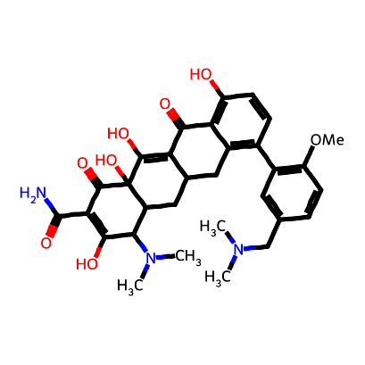 COc1ccc(CN(C)C)cc1-c1ccc(O)c2c1CC1CC3C(N(C)C)C(O)=C(C(N)=O)C(=O)C3(O)C(O)=C1C2=O